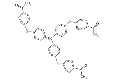 CC(=O)c1ccc(Sc2ccc([SiH](c3ccc(Sc4ccc(C(C)=O)cc4)cc3)c3ccc(Sc4ccc(C(C)=O)cc4)cc3)cc2)cc1